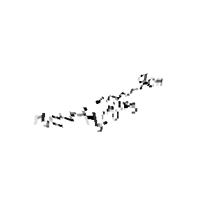 C=CC(=O)OC.CCCCCCCCCCCCCCCC(=O)O.[Zn]